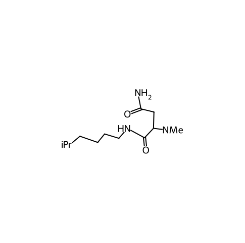 CNC(CC(N)=O)C(=O)NCCCCC(C)C